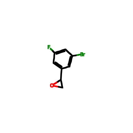 Fc1cc(Br)cc(C2CO2)c1